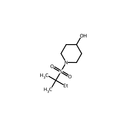 CCC(C)(C)S(=O)(=O)N1CCC(O)CC1